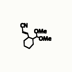 COC(OC)C1CCCCC1C=CC#N